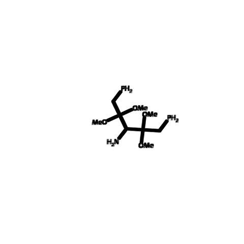 COC(CP)(OC)C(N)C(CP)(OC)OC